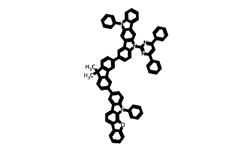 CC1(C)c2ccc(-c3ccc4c(c3)c3cc5c(cc3n4-c3nc(-c4ccccc4)cc(-c4ccccc4)n3)c3ccccc3n5-c3ccccc3)cc2-c2cc(-c3ccc4c(c3)c3ccc5c6ccccc6oc5c3n4-c3ccccc3)ccc21